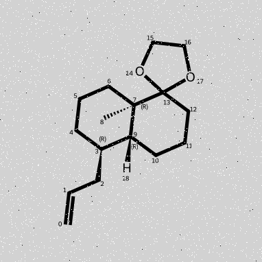 C=CC[C@H]1CCC[C@]2(C)[C@@H]1CCCC21OCCO1